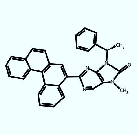 C[C@H](c1ccccc1)n1c(=O)n(C)c2cnc(-c3cc4ccc5ccccc5c4c4ccccc34)nc21